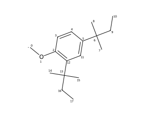 [CH2]Oc1ccc(C(C)(C)CC)cc1C(C)(C)CC